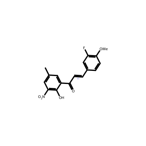 COc1ccc(/C=C/C(=O)c2cc(C)cc([N+](=O)[O-])c2O)cc1F